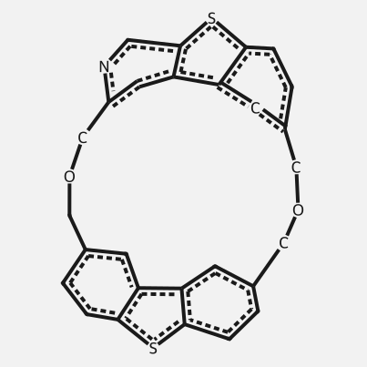 c1cc2sc3ccc4cc3c2cc1COCc1ccc2sc3cnc(cc3c2c1)COC4